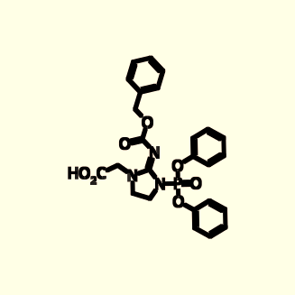 O=C(O)CN1CCN(P(=O)(Oc2ccccc2)Oc2ccccc2)C1=NC(=O)OCc1ccccc1